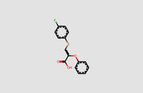 O=C(O)/C(=C/Sc1ccc(F)cc1)Oc1ccccc1